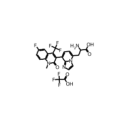 Cn1c(=O)c(-c2ccc(CC(N)C(=O)O)n3ccnc23)c(C(F)(F)F)c2cc(F)ccc21.O=C(O)C(F)(F)F